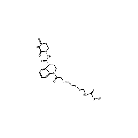 CC(C)(C)OC(=O)NCCOCCOCC(=O)N1CC[C@@H](C(=O)N[C@H]2CCC(=O)NC2=O)c2ccccc21